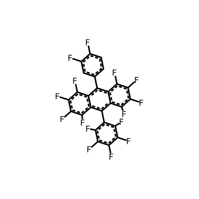 Fc1ccc(-c2c3c(F)c(F)c(F)c(F)c3c(-c3c(F)c(F)c(F)c(F)c3F)c3c(F)c(F)c(F)c(F)c23)cc1F